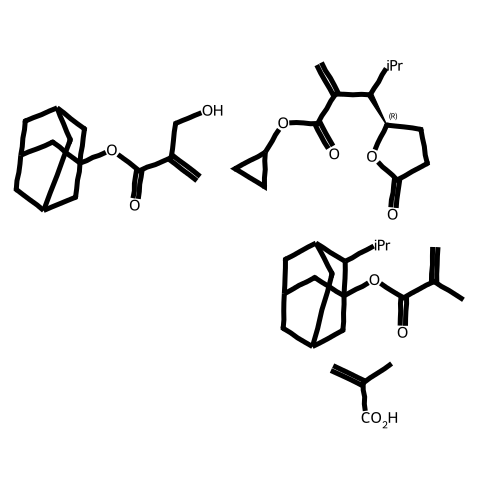 C=C(C(=O)OC1CC1)C(C(C)C)[C@H]1CCC(=O)O1.C=C(C)C(=O)O.C=C(C)C(=O)OC12CC3CC(CC(C3)C1C(C)C)C2.C=C(CO)C(=O)OC12CC3CC(CC(C3)C1)C2